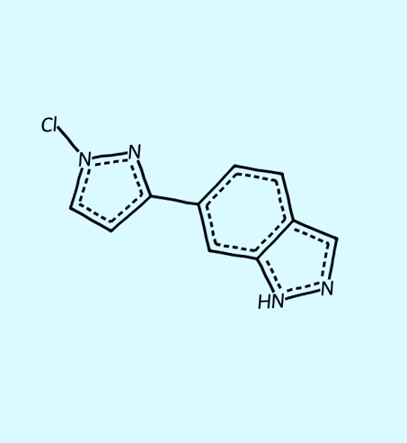 Cln1ccc(-c2ccc3cn[nH]c3c2)n1